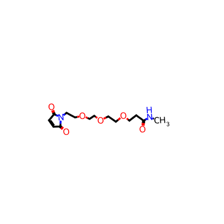 CNC(=O)CCOCCOCCOCCN1C(=O)C=CC1=O